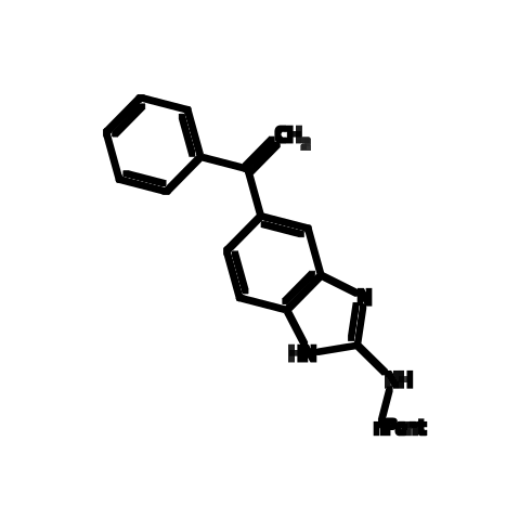 C=C(c1ccccc1)c1ccc2[nH]c(NCCCCC)nc2c1